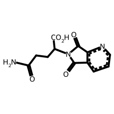 NC(=O)CCC(C(=O)O)N1C(=O)c2cccnc2C1=O